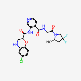 N#C[C@@H]1CC(F)(F)CN1C(=O)CNC(=O)c1ccncc1NC(=O)C1CNc2cc(Cl)ccc2O1